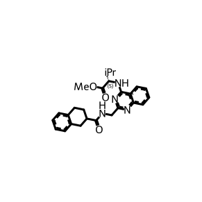 COC(=O)[C@@H](Nc1nc(CNC(=O)C2CCc3ccccc3C2)nc2ccccc12)C(C)C